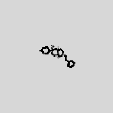 OC1(c2ccc(F)cc2)CC[C@H]2CN(CCc3ccccc3)CC[C@H]2C1